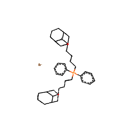 [Br-].c1ccc([P+](CCCCCB2C3CCCC2CCC3)(CCCCCB2C3CCCC2CCC3)c2ccccc2)cc1